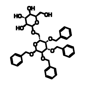 OC[C@H]1O[C@@H](OC[C@H]2O[C@H](OCc3ccccc3)[C@H](OCc3ccccc3)[C@@H](OCc3ccccc3)[C@H]2OCc2ccccc2)[C@@H](O)[C@H](O)[C@H]1O